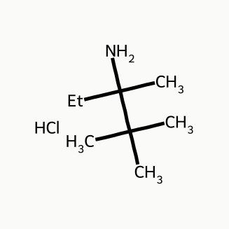 CCC(C)(N)C(C)(C)C.Cl